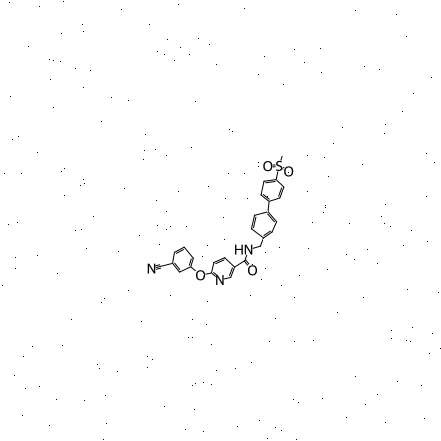 CS(=O)(=O)c1ccc(-c2ccc(CNC(=O)c3ccc(Oc4cccc(C#N)c4)nc3)cc2)cc1